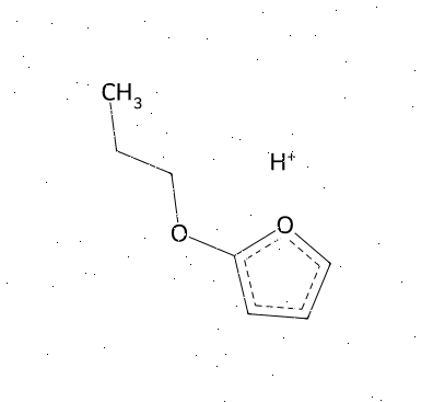 CCCOc1ccco1.[H+]